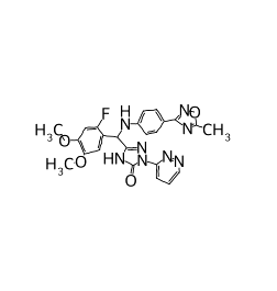 COc1cc(F)c(C(Nc2ccc(-c3noc(C)n3)cc2)c2nn(-c3cccnn3)c(=O)[nH]2)cc1OC